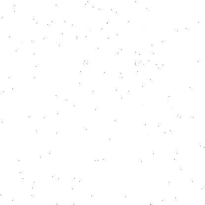 CCOC(=O)NC(=O)c1ccsc1NC(=O)c1cnc(N2CCOCC2)nc1